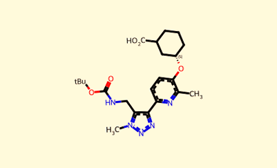 Cc1nc(-c2nnn(C)c2CNC(=O)OC(C)(C)C)ccc1O[C@H]1CCCC(C(=O)O)C1